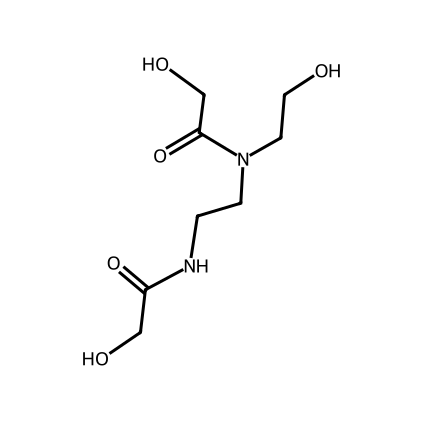 O=C(CO)NCCN(CCO)C(=O)CO